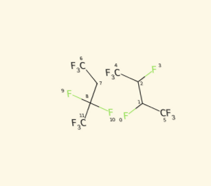 FC(C(F)C(F)(F)F)C(F)(F)F.FC(F)(F)CC(F)(F)C(F)(F)F